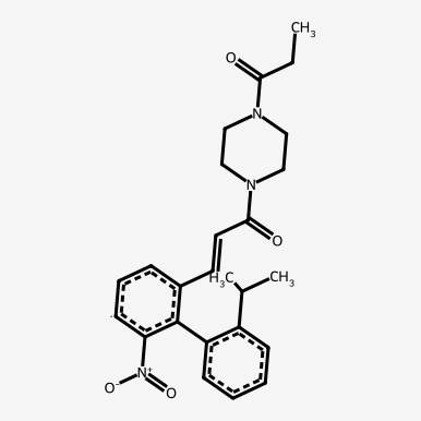 CCC(=O)N1CCN(C(=O)/C=C/c2cc[c]c([N+](=O)[O-])c2-c2ccccc2C(C)C)CC1